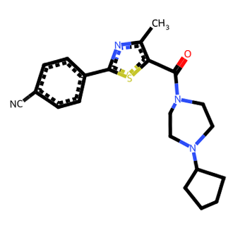 Cc1nc(-c2ccc(C#N)cc2)sc1C(=O)N1CCN(C2CCCC2)CC1